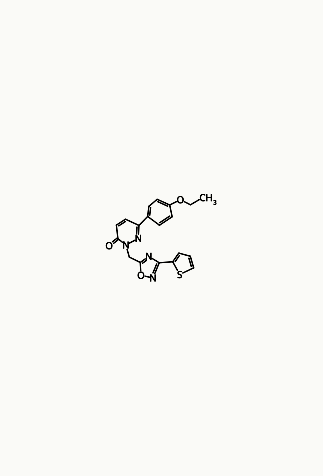 CCOc1ccc(-c2ccc(=O)n(Cc3nc(-c4cccs4)no3)n2)cc1